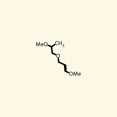 CO/C=C/COCC(C)OC